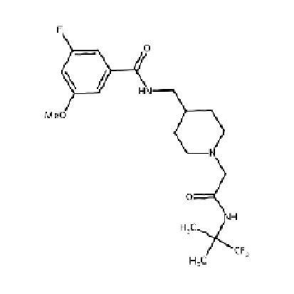 COc1cc(F)cc(C(=O)NCC2CCN(CC(=O)NC(C)(C)C(F)(F)F)CC2)c1